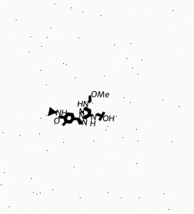 COCCNc1cc(NCC(C)(C)O)c2ncc(-c3ccc(C(=O)NC4CC4)c(C)c3)n2n1